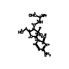 CC(C)[C@H](C=O)NOC1C(CO)OC(n2ccc(N)nc2=O)C1(C)O